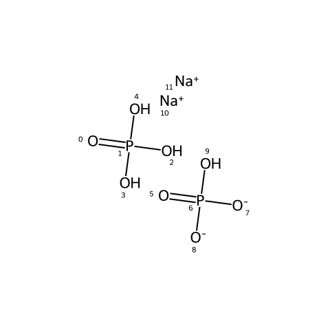 O=P(O)(O)O.O=P([O-])([O-])O.[Na+].[Na+]